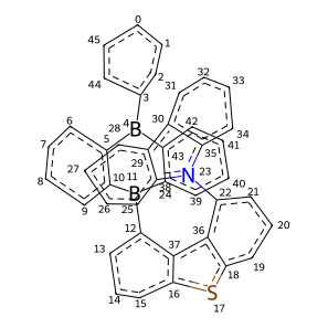 c1ccc(B2c3ccccc3B(c3cccc4sc5cccc(-n6c7ccccc7c7ccccc76)c5c34)c3ccccc32)cc1